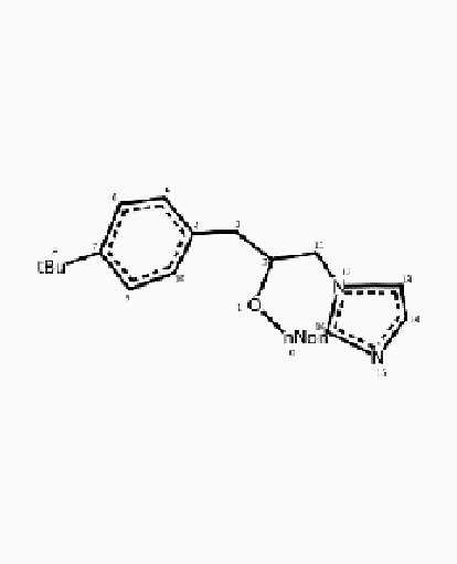 CCCCCCCCCOC(Cc1ccc(C(C)(C)C)cc1)Cn1ccnc1